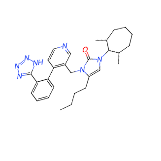 CCCCc1cn(C2C(C)CCCCC2C)c(=O)n1Cc1cnccc1-c1ccccc1-c1nnn[nH]1